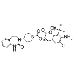 COC(=O)[C@@H](Cc1cc(Cl)c(N)c(C(F)(F)F)c1)OC(=O)N1CCC(N2CCc3ccccc3NC2=O)CC1